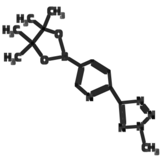 Cn1nnc(-c2ccc(B3OC(C)(C)C(C)(C)O3)cn2)n1